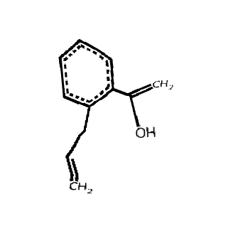 C=CCc1ccccc1C(=C)O